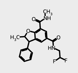 CNC(=O)c1cc(C(=O)NCC(F)F)cc2c1OC(C)C2c1ccccc1